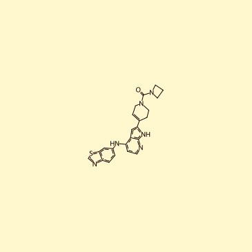 O=C(N1CC=C(c2cc3c(Nc4ccc5ncsc5c4)ccnc3[nH]2)CC1)N1CCC1